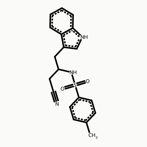 Cc1ccc(S(=O)(=O)NC(CC#N)Cc2c[nH]c3ccccc23)cc1